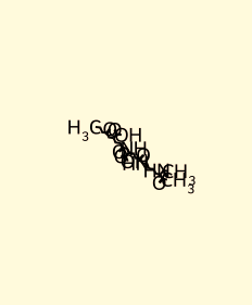 CCCC(=O)CC(CCC(=O)NC(CCC(=O)NCCCCC(NC)C(C)=O)C(=O)O)C(=O)O